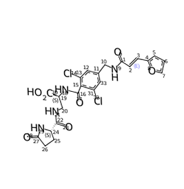 O=C(/C=C/c1ccco1)NCc1cc(Cl)c(C(=O)N[C@@H](CNC(=O)[C@@H]2CCC(=O)N2)C(=O)O)c(Cl)c1